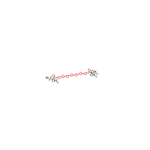 CC(C)C(=O)CCOCCOCCOCCOCCOCCOCCOCCC(=O)C(C)C